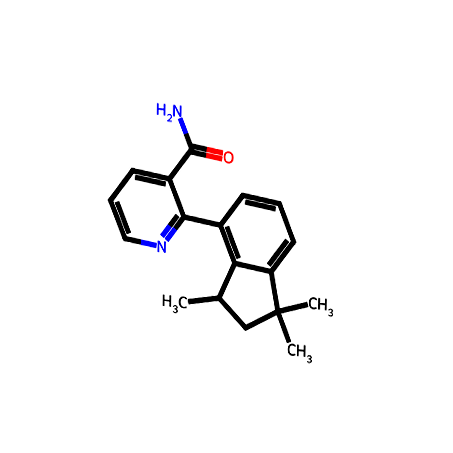 CC1CC(C)(C)c2cccc(-c3ncccc3C(N)=O)c21